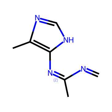 C=N/C(C)=N\c1[nH]cnc1C